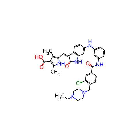 CCN1CCN(Cc2ccc(C(=O)Nc3cccc(Nc4ccc5c(c4)NC(=O)C5=Cc4[nH]c(C)c(C(=O)O)c4C)c3)cc2Cl)CC1